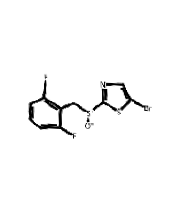 [O-][S@@+](Cc1c(F)cccc1F)c1ncc(Br)s1